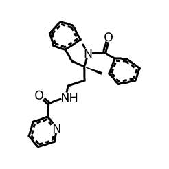 CN(C(=O)c1ccccc1)[C@](C)(CCNC(=O)c1ccccn1)Cc1ccccc1